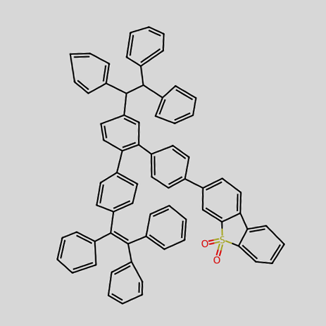 O=S1(=O)c2ccccc2-c2ccc(-c3ccc(-c4cc(C(c5ccccc5)C(c5ccccc5)c5ccccc5)ccc4-c4ccc(C(=C(c5ccccc5)c5ccccc5)c5ccccc5)cc4)cc3)cc21